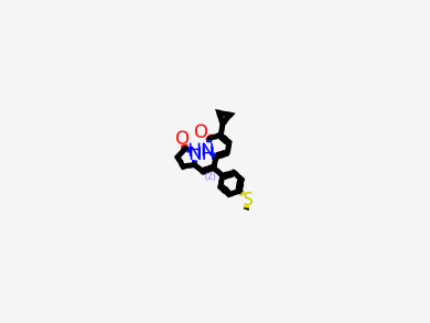 CSc1ccc(/C(=C/C2CCC(=O)N2)c2ccc(C3CC3)c(=O)[nH]2)cc1